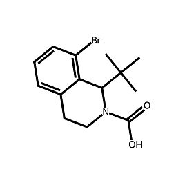 CC(C)(C)C1c2c(Br)cccc2CCN1C(=O)O